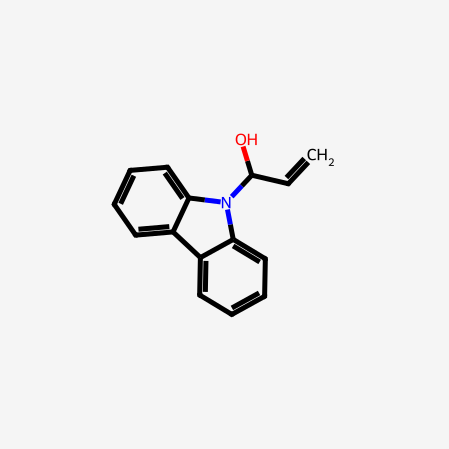 C=CC(O)n1c2ccccc2c2ccccc21